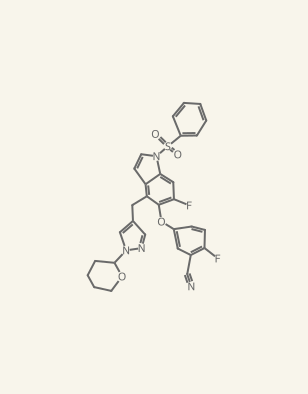 N#Cc1cc(Oc2c(F)cc3c(ccn3S(=O)(=O)c3ccccc3)c2Cc2cnn(C3CCCCO3)c2)ccc1F